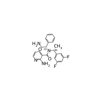 C[C@H](c1cc(F)cc(F)c1)N(C(=O)c1cccnc1N)[C@H](C(N)=O)c1ccccc1